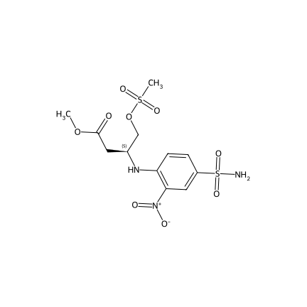 COC(=O)C[C@@H](COS(C)(=O)=O)Nc1ccc(S(N)(=O)=O)cc1[N+](=O)[O-]